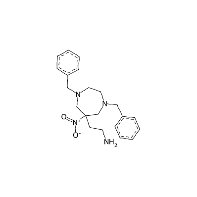 NCCC1([N+](=O)[O-])CN(Cc2ccccc2)CCN(Cc2ccccc2)C1